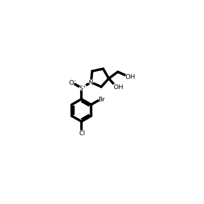 [O-][S+](c1ccc(Cl)cc1Br)N1CCC(O)(CO)C1